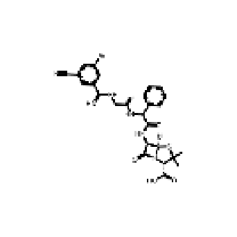 CC1(C)S[C@@H]2C(NC(=O)C(NC(=O)CNC(=N)c3cc(Br)cc(C#N)c3)c3ccccc3)C(=O)N2[C@H]1C(=O)O